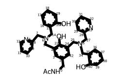 CC(=O)NCc1cc(CN(Cc2ccccn2)Cc2ccccc2O)c(O)c(CN(Cc2ccccn2)Cc2ccccc2O)c1